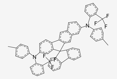 Cc1ccc(N(c2ccc3c(c2)C2(c4ccccc4-c4ccccc42)c2cc4cc(N(c5ccc(C)cc5)c5ccccc5C(F)(F)F)ccc4cc2-3)c2ccccc2C(F)(F)F)cc1